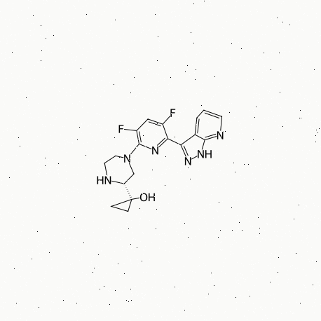 OC1([C@H]2CN(c3nc(-c4n[nH]c5ncccc45)c(F)cc3F)CCN2)CC1